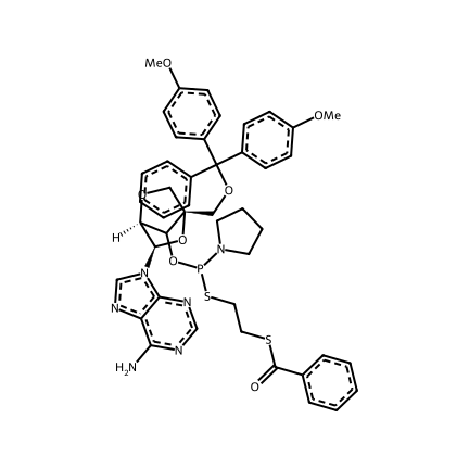 COc1ccc(C(OC[C@]23CO[C@@H](C2OP(SCCSC(=O)c2ccccc2)N2CCCC2)[C@H](n2cnc4c(N)ncnc42)O3)(c2ccccc2)c2ccc(OC)cc2)cc1